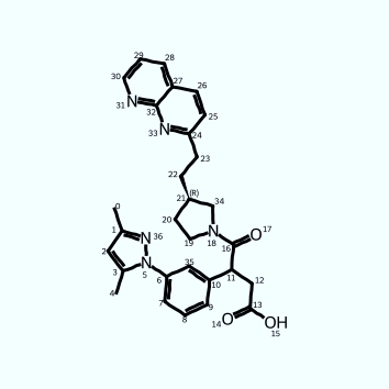 Cc1cc(C)n(-c2cccc(C(CC(=O)O)C(=O)N3CC[C@@H](CCc4ccc5cccnc5n4)C3)c2)n1